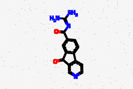 NC(N)=NC(=O)c1ccc2c(c1)C(=O)c1cnccc1-2